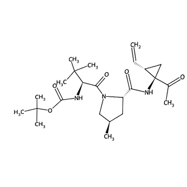 C=C[C@@H]1C[C@]1(NC(=O)[C@@H]1C[C@@H](C)CN1C(=O)[C@@H](NC(=O)OC(C)(C)C)C(C)(C)C)C(C)=O